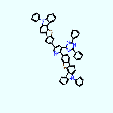 c1ccc(-c2nc(-c3ccccc3)nc(-c3cc(-c4ccc5c(c4)sc4c5ccc5c4c4ccccc4n5-c4ccccc4)cnc3-c3ccc4c(c3)sc3c4ccc4c3c3ccccc3n4-c3ccccc3)n2)cc1